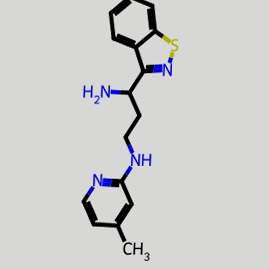 Cc1ccnc(NCCC(N)c2nsc3ccccc23)c1